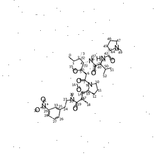 CC[C@H](C)[C@@H]([C@@H](CC(=O)N1CCC[C@H]1[C@H](OC)[C@@H](C)C(=O)N(C)CCc1cccc([N+](=O)[O-])c1)OC)N(C)C(=O)[C@@H](NC(=O)[C@@H]1CCCN1C)C(C)C